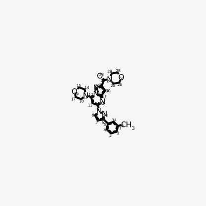 Cc1cccc(-c2ccn(-c3cc(N4CCOCC4)n4nc(C(=O)N5CCOCC5)cc4n3)n2)c1